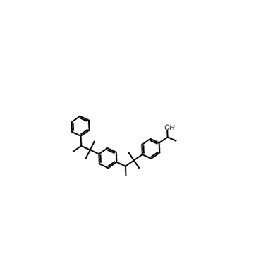 CC(O)c1ccc(C(C)(C)C(C)c2ccc(C(C)(C)C(C)c3ccccc3)cc2)cc1